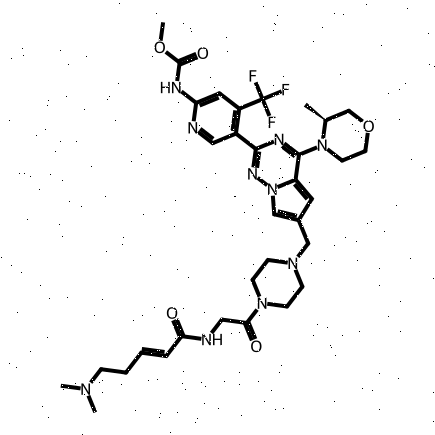 COC(=O)Nc1cc(C(F)(F)F)c(-c2nc(N3CCOC[C@@H]3C)c3cc(CN4CCN(C(=O)CNC(=O)/C=C/CCN(C)C)CC4)cn3n2)cn1